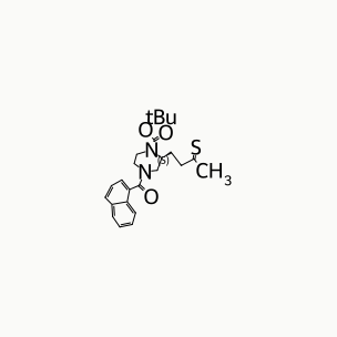 CC(=S)CC[C@H]1CN(C(=O)c2cccc3ccccc23)CCN1C(=O)OC(C)(C)C